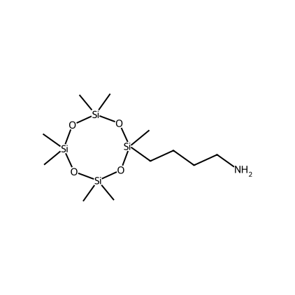 C[Si]1(C)O[Si](C)(C)O[Si](C)(CCCCN)O[Si](C)(C)O1